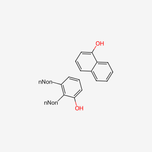 CCCCCCCCCc1cccc(O)c1CCCCCCCCC.Oc1cccc2ccccc12